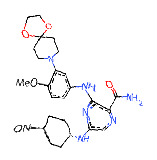 COc1ccc(Nc2nc(N[C@H]3CC[C@H](N=O)CC3)cnc2C(N)=O)cc1N1CCC2(CC1)OCCO2